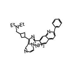 CCN(CC)CC1CC(C2=C3C=NC=C[N+]3(N)C(c3ccc4ccc(-c5ccccc5)nc4c3)=N2)C1